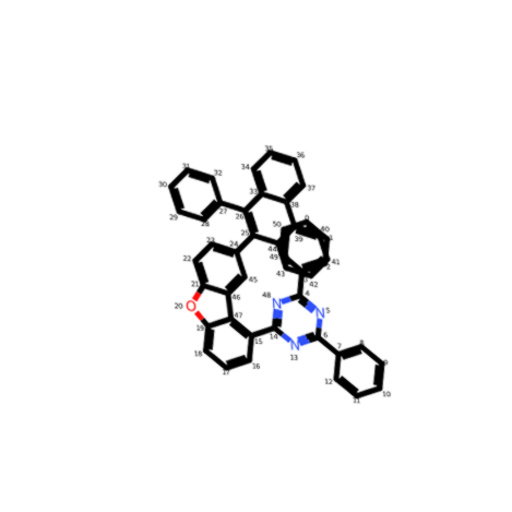 c1ccc(-c2nc(-c3ccccc3)nc(-c3cccc4oc5ccc(-c6c(-c7ccccc7)c7ccccc7c7ccccc67)cc5c34)n2)cc1